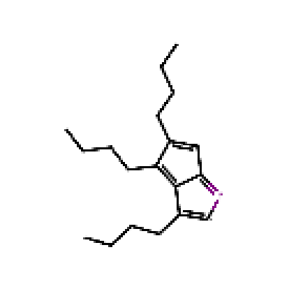 CCCCC1=[C]P=C2C=C(CCCC)C(CCCC)=C12